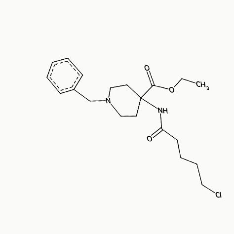 CCOC(=O)C1(NC(=O)CCCCCl)CCN(Cc2ccccc2)CC1